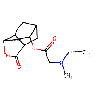 CCN(C)CC(=O)OC1C2CC3C(=O)OC1C3C2